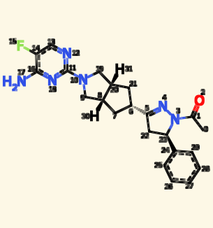 CC(=O)N1N=C([C@@H]2C[C@@H]3CN(c4ncc(F)c(N)n4)C[C@@H]3C2)C[C@@H]1c1ccccc1